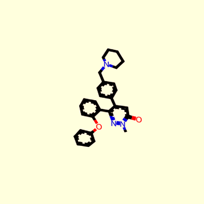 Cn1nc(-c2ccccc2Oc2ccccc2)c(-c2ccc(CN3CCCCC3)cc2)cc1=O